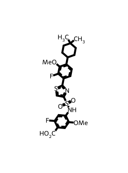 COc1cc(C(=O)O)c(F)cc1NS(=O)(=O)c1csc(-c2ccc(C3CCC(C)(C)CC3)c(OC)c2F)n1